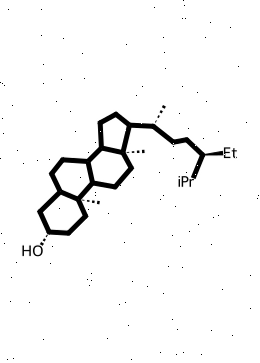 CC[C@H](CC[C@@H](C)C1CCC2C3CCC4C[C@@H](O)CC[C@]4(C)C3CC[C@@]21C)C(C)C